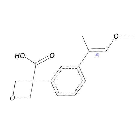 CO/C=C(\C)c1cccc(C2(C(=O)O)COC2)c1